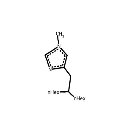 CCCCCCC(CCCCCC)Cc1cn(C)cn1